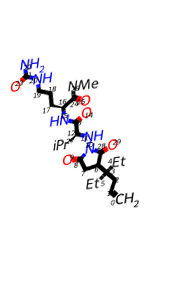 C=CCC(CC)(CC)C1CC(=O)N(N[C@H](C(=O)N[C@@H](CCCNC(N)=O)C(=O)NC)C(C)C)C1=O